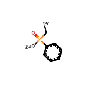 CC(C)COP(=O)(CC(C)C)c1ccccc1